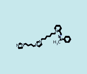 CN(/N=C/c1cccc[n+]1CCCCCCN1C=CN(CCCCn2ccnc2)C1)c1ccccc1